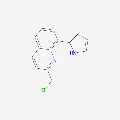 ClCc1ccc2cccc(-c3ccc[nH]3)c2n1